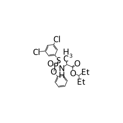 CCC(CC)OC(=O)[C@H](C)N[P@@](=O)(Oc1ccccc1)Sc1cc(Cl)cc(Cl)c1